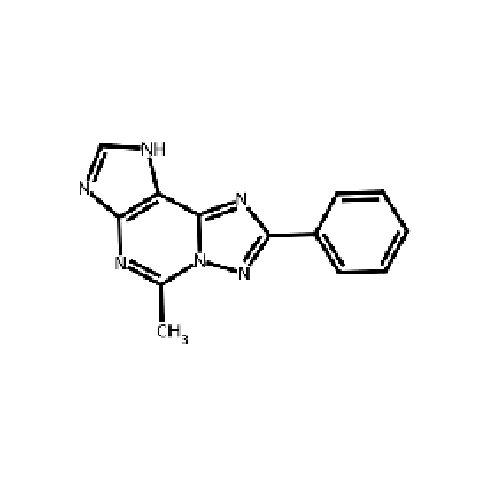 Cc1nc2nc[nH]c2c2nc(-c3ccccc3)nn12